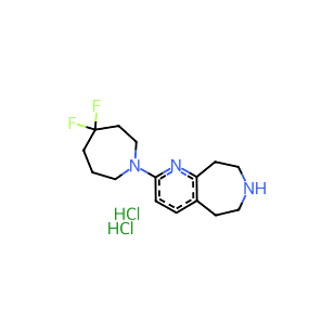 Cl.Cl.FC1(F)CCCN(c2ccc3c(n2)CCNCC3)CC1